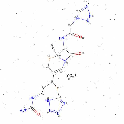 NC(=O)NCCC(Sc1nnn[nH]1)C1=C(C(=O)O)N2C(=O)C(NC(=O)Cn3cnnn3)[C@@H]2SC1